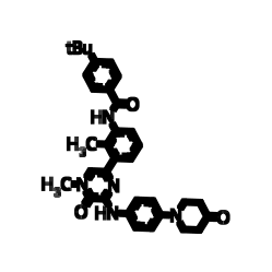 Cc1c(NC(=O)c2ccc(C(C)(C)C)cc2)cccc1-c1cn(C)c(=O)c(Nc2ccc(N3CCC(=O)CC3)cc2)n1